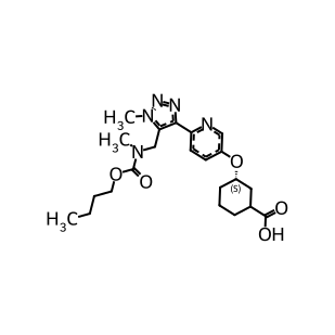 CCCCOC(=O)N(C)Cc1c(-c2ccc(O[C@H]3CCCC(C(=O)O)C3)cn2)nnn1C